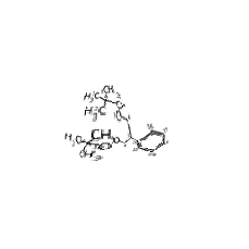 CC(C)(C)OOCC(COOC(C)(C)C)c1ccccc1